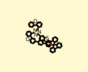 c1ccc2c(c1)-c1ccccc1C21c2ccccc2-c2cc(-c3ccc(-c4ccc5oc6cccc(-c7nc(-c8ccc9c(c8)sc8ccccc89)nc(-c8cccc9oc%10ccccc%10c89)n7)c6c5c4)cc3)ccc21